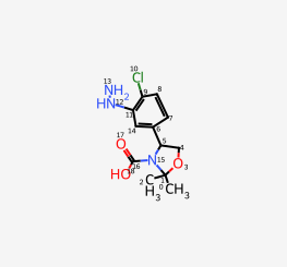 CC1(C)OCC(c2ccc(Cl)c(NN)c2)N1C(=O)O